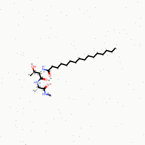 CCCCCCCCCCCCCCCC(=O)N[C@H](C(=O)N[C@@H](C)C(=O)NC)[C@@H](C)O